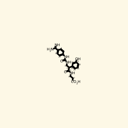 N=C(N)c1ccc(NC(=O)NCC(C(=O)NCCC(=O)O)c2cccc(O)c2)cc1